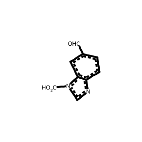 O=Cc1ccc2ncn(C(=O)O)c2c1